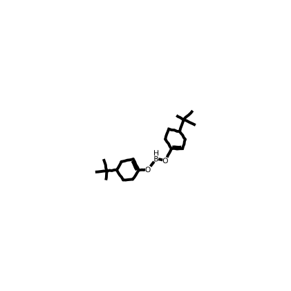 CC(C)(C)C1CC=C(OBOC2=CCC(C(C)(C)C)CC2)CC1